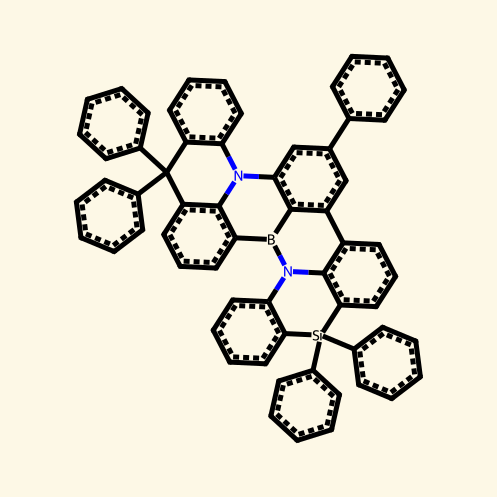 c1ccc(-c2cc3c4c(c2)N2c5ccccc5C(c5ccccc5)(c5ccccc5)c5cccc(c52)B4N2c4ccccc4[Si](c4ccccc4)(c4ccccc4)c4cccc-3c42)cc1